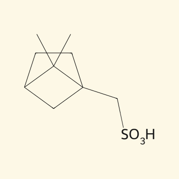 CC1(C)C2CCC1(CS(=O)(=O)O)C2